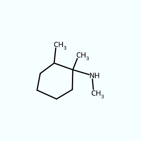 CNC1(C)CCCCC1C